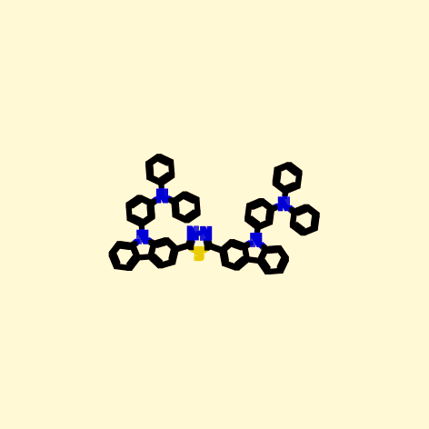 c1ccc(N(c2ccccc2)c2cccc(-n3c4ccccc4c4ccc(-c5nnc(-c6ccc7c8ccccc8n(-c8cccc(N(c9ccccc9)c9ccccc9)c8)c7c6)s5)cc43)c2)cc1